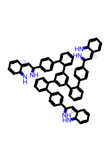 N=C1C=CC=C/C1=C/C(=N)c1ccc(-c2ccccc2-c2cc(-c3ccccc3-c3ccc(C(=N)/C=C4/C=CC=CC4=N)cc3)cc(-c3ccccc3-c3ccc(C(=N)/C=C4/C=CC=CC4=N)cc3)c2)cc1